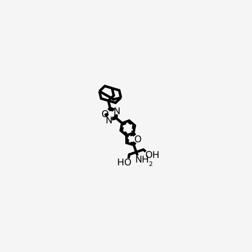 NC(CO)(CO)c1cc2cc(-c3noc(C45CC6CC(CC(C6)C4)C5)n3)ccc2o1